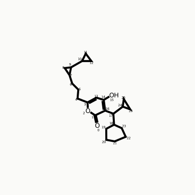 O=c1oc(CCCC2CC2C2CC2)cc(O)c1C(C1CCCCC1)C1CC1